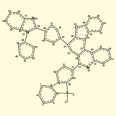 CC1(C)c2ccccc2-c2ccc(-c3nc4ccccc4c4c3cc(-c3ccc(-c5nc6ccccc6n5-c5ccccc5)cc3)c3oc5ccccc5c34)cc21